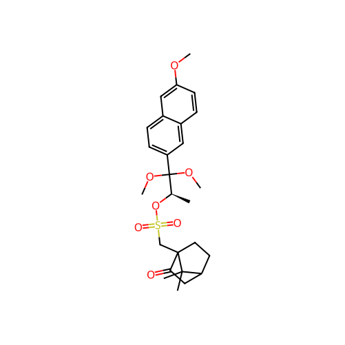 COc1ccc2cc(C(OC)(OC)[C@@H](C)OS(=O)(=O)CC34CCC(CC3=O)C4(C)C)ccc2c1